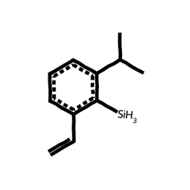 C=Cc1cccc(C(C)C)c1[SiH3]